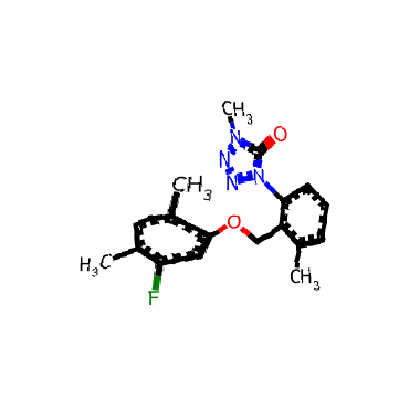 Cc1cc(C)c(OCc2c(C)cccc2-n2nnn(C)c2=O)cc1F